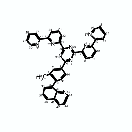 Cc1cc(-c2nc(-c3cccc(-c4ccccn4)n3)nc(-c3cccc(-c4ccccn4)n3)n2)ccc1-c1cccc2cccnc12